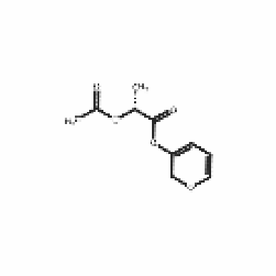 CC(=O)O[C@H](C)C(=O)OC1=CC=COC1